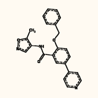 Cc1oncc1NC(=O)c1cc(-c2ccncc2)ccc1OCc1ccccc1